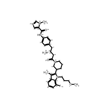 COCCCn1c(C2CCCN(C(=O)C[C@H](N)Cc3ccc(NC(=O)c4cncn4C)cc3)C2)c(C)c2cccc(F)c21